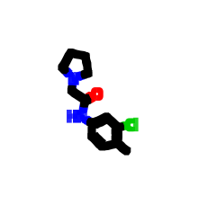 Cc1ccc(NC(=O)CN2CCCC2)cc1Cl